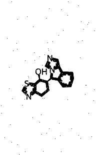 O[C@@H]1c2scnc2CC[C@@H]1C1c2ccccc2-c2cncn21